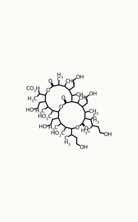 CC(CCO)C(C)C1C(=O)OC(C(C)CCO)C(C(=O)O)C(C)C(CCO)C2OC(=O)C(C(C)C(CCO)C(C)C(C)C(=O)OC(C(C)C(=O)O)C(CCO)C(C)C2C(=O)O)C(C)C(CCO)C1C